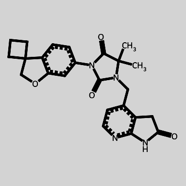 CC1(C)C(=O)N(c2ccc3c(c2)OCC32CCC2)C(=O)N1Cc1ccnc2c1CC(=O)N2